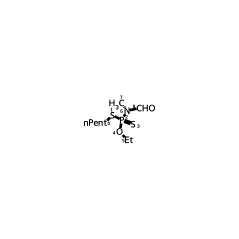 CCCCCSP(=S)(OCC)N(C)C=O